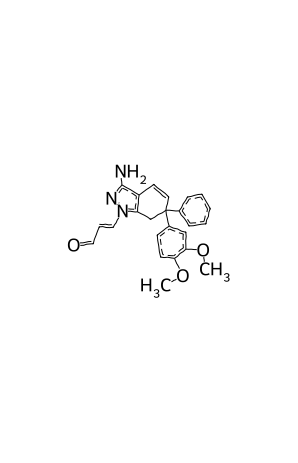 COc1ccc(C2(c3ccccc3)C=Cc3c(N)nn(C=CC=O)c3C2)cc1OC